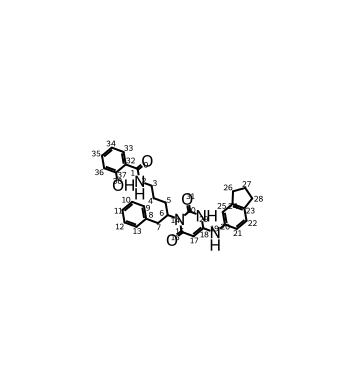 O=C(NCCCC(Cc1ccccc1)n1c(=O)cc(Nc2ccc3c(c2)CCC3)[nH]c1=O)c1ccccc1O